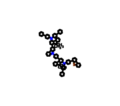 CC1(C)c2ccccc2-c2c(N(c3ccc(-c4ccccc4)cc3)c3ccc(-c4ccccc4)cc3)ccc(-c3ccc4c(c3)c3ccccc3n4-c3ccc(-c4ccc(N(c5ccc(-c6ccccc6)cc5)c5ccc(-c6cccc7c6sc6ccccc67)cc5)c5c4-c4ccccc4C5(C)C)cc3)c21